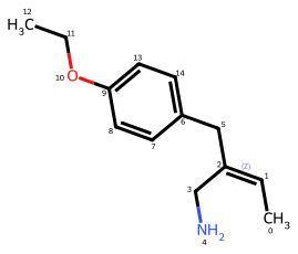 C/C=C(\CN)Cc1ccc(OCC)cc1